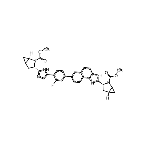 CC(C)(C)OC(=O)N1C2C[C@@H]2C[C@H]1c1nc2c(ccc3cc(-c4ccc(-c5cnc([C@@H]6CC7C[C@H]7N6C(=O)OC(C)(C)C)[nH]5)c(F)c4)ccc32)[nH]1